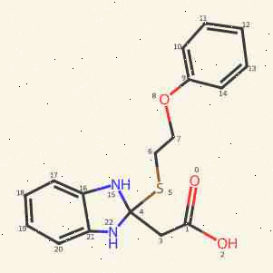 O=C(O)CC1(SCCOc2ccccc2)Nc2ccccc2N1